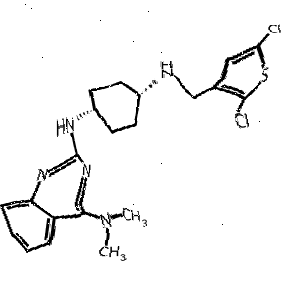 CN(C)c1nc(N[C@H]2CC[C@@H](NCc3cc(Cl)sc3Cl)CC2)nc2ccccc12